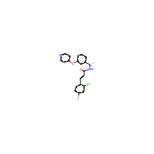 C[C@H](NC(=O)C=Cc1ccc(F)cc1Cl)c1cccc(Oc2ccncc2)c1